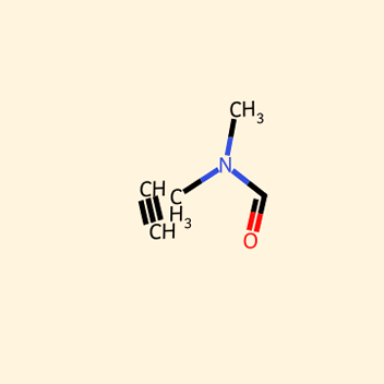 C#C.CN(C)C=O